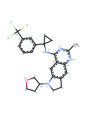 Cc1nc(NC2(c3cccc(C(F)(F)F)c3)CC2)c2cc3c(cc2n1)CCN3C1CCOC1